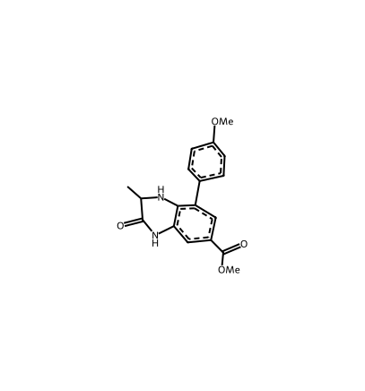 COC(=O)c1cc2c(c(-c3ccc(OC)cc3)c1)NC(C)C(=O)N2